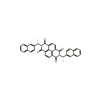 C[C@@H](c1ccc2ccccc2c1)N1C(=O)c2ccc3c4c(ccc(c24)C1=O)C(=O)N([C@@H](C)c1ccc2ccccc2c1)C3=O